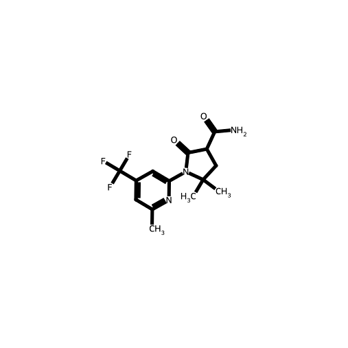 Cc1cc(C(F)(F)F)cc(N2C(=O)C(C(N)=O)CC2(C)C)n1